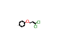 ClC(Cl)=CCOc1cc[c]cc1